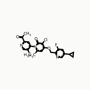 CC(=O)c1cc(-n2c(C)cc(OCc3ncc(C4CC4)cc3F)c(Cl)c2=O)c(C)cn1